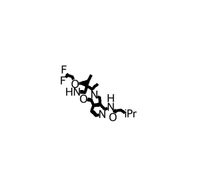 CC1=C(OCC(F)F)C1(C=N)C(C)N1Cc2c(ccnc2NC(=O)CC(C)C)C1=O